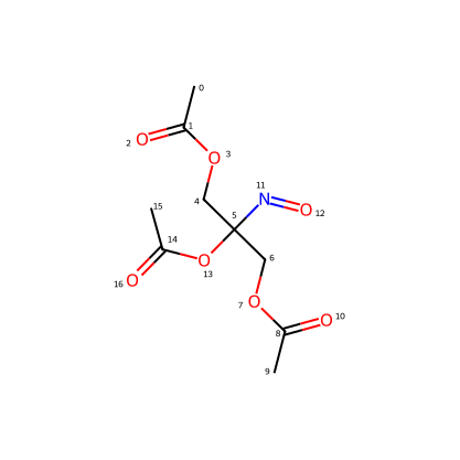 CC(=O)OCC(COC(C)=O)(N=O)OC(C)=O